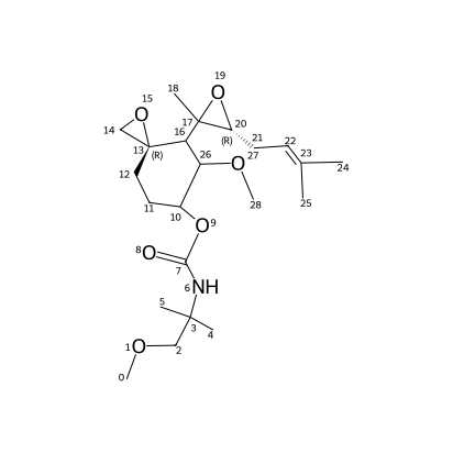 COCC(C)(C)NC(=O)OC1CC[C@]2(CO2)C(C2(C)O[C@@H]2CC=C(C)C)C1OC